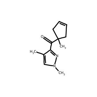 Cc1cn(C)nc1C(=O)C1(C)CC=CC1